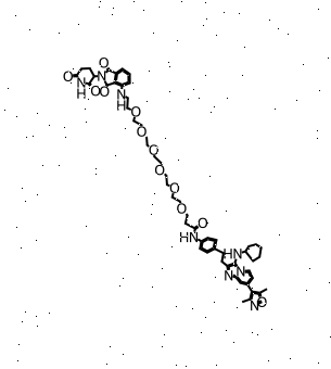 Cc1noc(C)c1-c1ccn2c(NC3CCCCC3)c(CCc3ccc(NC(=O)CCOCCOCCOCCOCCOCCOCCNc4cccc5c4C(=O)N(C4CCC(=O)NC4=O)C5=O)cc3)nc2c1